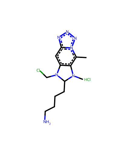 Cc1c2c(cc3nnnn13)N(CCl)C(CCCCN)N2C.Cl